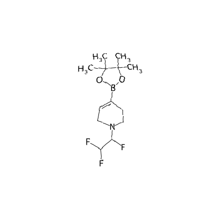 CC1(C)OB(C2=CCN(C(F)C(F)F)CC2)OC1(C)C